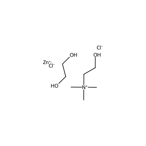 C[N+](C)(C)CCO.OCCO.[Cl-].[Cl-].[Zn+]